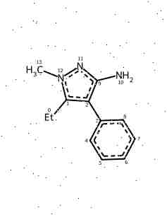 CCc1c(-c2ccccc2)c(N)nn1C